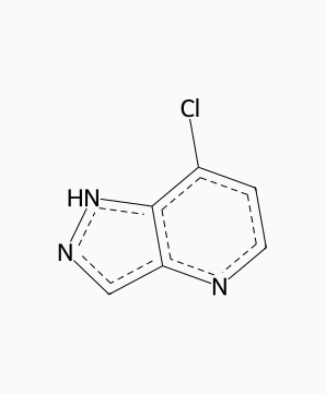 Clc1ccnc2cn[nH]c12